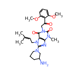 COc1cccc(OC)c1C(=O)Cn1c(=O)c2c(nc(N3CCCC(N)C3)n2CC=C(C)C)n(C)c1=O